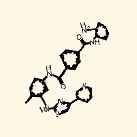 Cc1ccc(NC(=O)c2ccc(C(=O)Nc3ccccc3N)cc2)cc1Nc1nc(-c2cccnc2)cs1